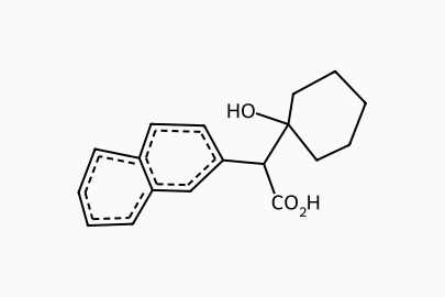 O=C(O)C(c1ccc2ccccc2c1)C1(O)CCCCC1